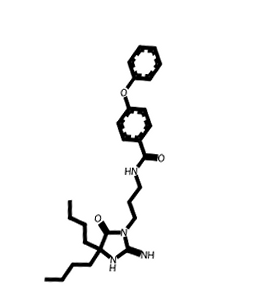 CCCCC1(CCCC)NC(=N)N(CCCNC(=O)c2ccc(Oc3ccccc3)cc2)C1=O